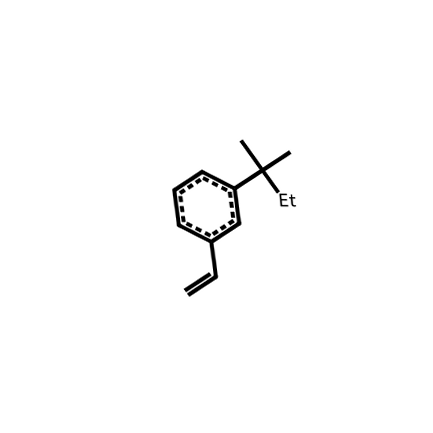 C=Cc1cccc(C(C)(C)CC)c1